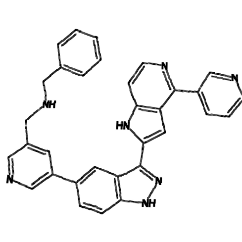 c1ccc(CNCc2cncc(-c3ccc4[nH]nc(-c5cc6c(-c7cccnc7)nccc6[nH]5)c4c3)c2)cc1